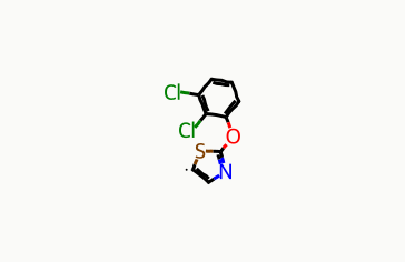 Clc1cccc(Oc2nc[c]s2)c1Cl